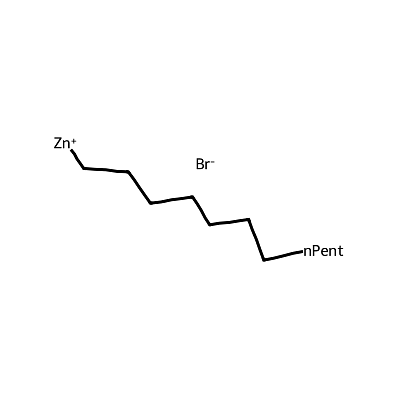 CCCCCCCCCCC[CH2][Zn+].[Br-]